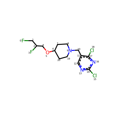 FCC(F)COC1CCN(Cc2cnc(Cl)nc2Cl)CC1